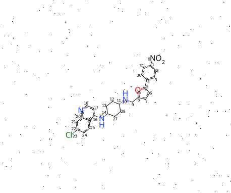 O=[N+]([O-])c1ccc(-c2ccc(CNC3CCC(Nc4ccnc5cc(Cl)ccc45)CC3)o2)cc1